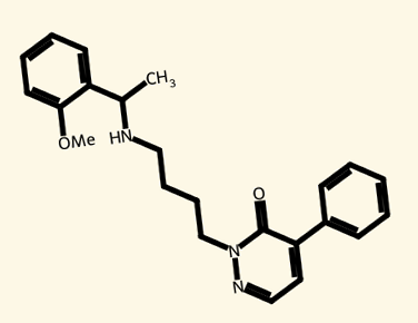 COc1ccccc1C(C)NCCCCn1nccc(-c2ccccc2)c1=O